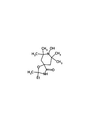 CCC1(C)NC(=O)C2(CC(C)(C)N(O)C(C)(C)C2)O1